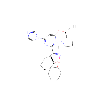 C[C@H](Oc1cc(-n2ccnc2)nc(-c2noc3c2CCC[C@@]32CCCCC2=O)n1)[C@@H]1C[C@@H](F)CN1C